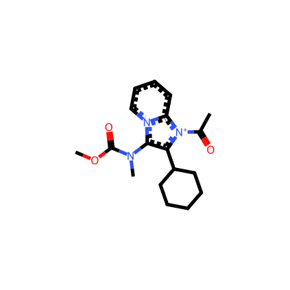 COC(=O)N(C)c1c(C2CCCCC2)[n+](C(C)=O)c2ccccn12